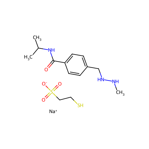 CNNCc1ccc(C(=O)NC(C)C)cc1.O=S(=O)([O-])CCS.[Na+]